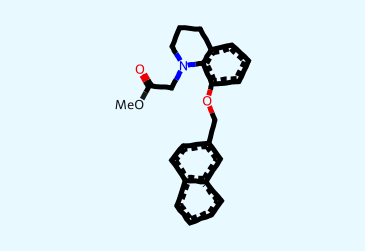 COC(=O)CN1CCCc2cccc(OCc3ccc4ccccc4c3)c21